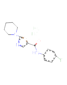 Cl.Cl.O=C(Nc1ccc(F)cc1)c1cnc(N2CCCCC2)s1